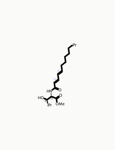 COC(=O)[C@@H](NC(=O)/C=C/C=C/CCCCCC(C)C)[C@H](O)C(C)C